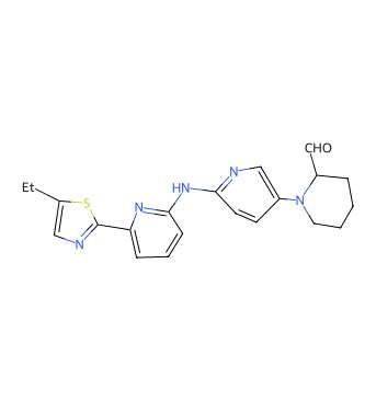 CCc1cnc(-c2cccc(Nc3ccc(N4CCCCC4C=O)cn3)n2)s1